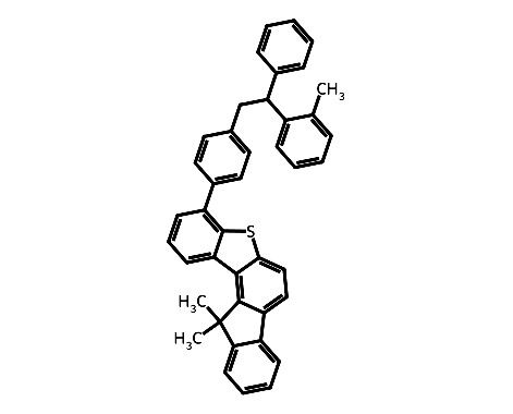 Cc1ccccc1C(Cc1ccc(-c2cccc3c2sc2ccc4c(c23)C(C)(C)c2ccccc2-4)cc1)c1ccccc1